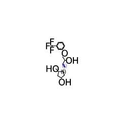 OC(/C=C/[C@@H]1CC(O)CC1O)COc1cccc(C(F)(F)F)c1